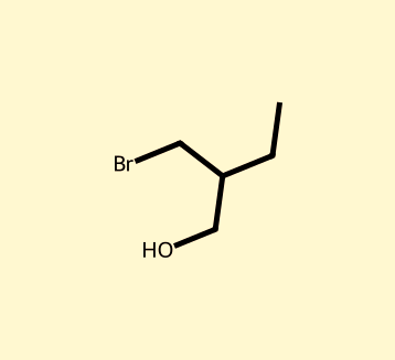 CCC(CO)CBr